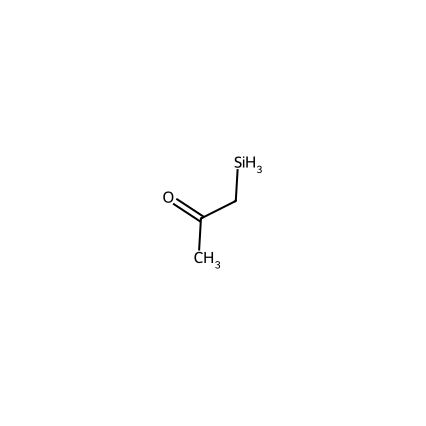 CC(=O)C[SiH3]